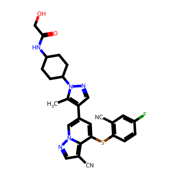 Cc1c(-c2cc(Sc3ccc(F)cc3C#N)c3c(C#N)cnn3c2)cnn1C1CCC(NC(=O)CO)CC1